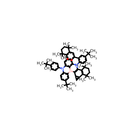 Cc1cc2c3c(c1)N(c1ccc(C(C)(C)C)cc1)c1ccc(C(C)(C)C)cc1B3C1=C(C3=C(C4=CC41)C(C)(C)CCC3(C)C)N2c1ccc(C(C)(C)C)cc1-c1ccc2c(c1)C(C)(C)CCC2(C)C